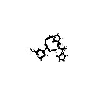 Cc1cc(C2=CC=CN3CC[C@@H](C3)N(C(=O)N3CCCC3)C=N2)ccn1